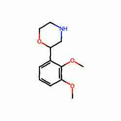 COc1cccc(C2CNCCO2)c1OC